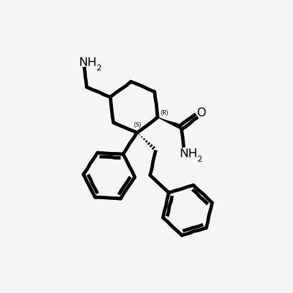 NCC1CC[C@@H](C(N)=O)[C@@](CCc2ccccc2)(c2ccccc2)C1